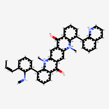 C=Nc1c(/C=C\C)cccc1-c1cccc2c(=O)c3cc4c(cc3n(C)c12)c(=O)c1cccc(-c2cccc3cccnc23)c1n4C